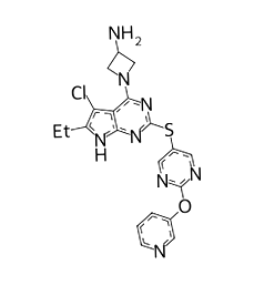 CCc1[nH]c2nc(Sc3cnc(Oc4cccnc4)nc3)nc(N3CC(N)C3)c2c1Cl